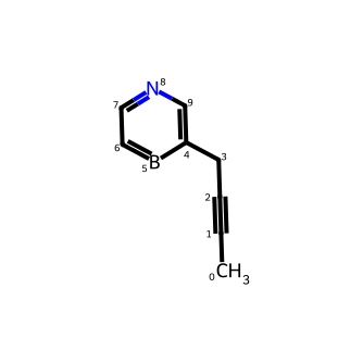 CC#CCc1bccnc1